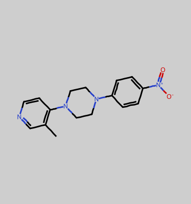 Cc1cnccc1N1CCN(c2ccc([N+](=O)[O-])cc2)CC1